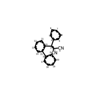 N#CC(C#N)=C(c1ccccc1)c1ccccc1-c1ccccc1